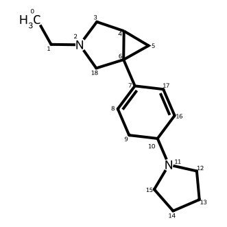 CCN1CC2CC2(C2=CCC(N3CCCC3)C=C2)C1